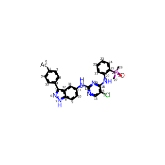 CC(=O)c1ccc(-c2n[nH]c3ccc(Nc4ncc(Cl)c(Nc5ccccc5P(C)(C)=O)n4)cc23)cc1